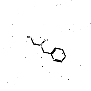 CC(C)(C)CN(S)CC1=CCCC=C1